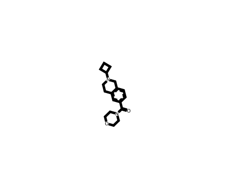 O=C(c1ccc2c(c1)CCN(C1CCC1)C2)N1CCOCC1